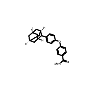 CNC(=O)c1ccc(Oc2ccc(C3[C@H]4C[C@@H]5C[C@@H](C[C@H]3C5)C4)cc2)cc1